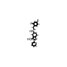 Oc1c2c(nn1-c1ccccn1)CCC(NCCc1ccc(F)cc1F)C2